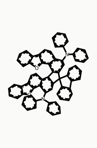 c1ccc(N(c2ccccc2)c2cc3c(c4c2ccc2c5ccccc5oc24)-c2c(cc(N(c4ccccc4)c4ccccc4)c4c2ccc2c5ccccc5oc24)C32c3ccccc3-c3ccccc32)cc1